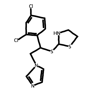 Clc1ccc(C(Cn2ccnc2)SC2NCCS2)c(Cl)c1